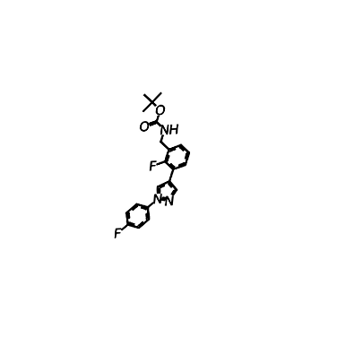 CC(C)(C)OC(=O)NCc1cccc(-c2cnn(-c3ccc(F)cc3)c2)c1F